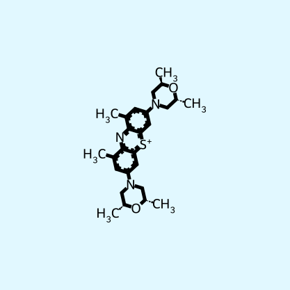 Cc1cc(N2C[C@@H](C)O[C@H](C)C2)cc2[s+]c3cc(N4C[C@@H](C)O[C@@H](C)C4)cc(C)c3nc12